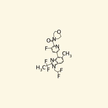 Cc1ccc2c(nc(C(C)(F)F)n2CC(F)F)c1-c1cnc(C(=O)N2CCOCC2)c(F)c1